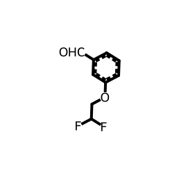 O=Cc1cccc(OCC(F)F)c1